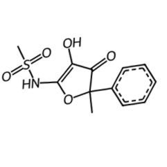 CC1(c2ccccc2)OC(NS(C)(=O)=O)=C(O)C1=O